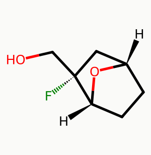 OC[C@@]1(F)C[C@@H]2CC[C@H]1O2